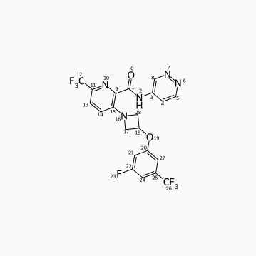 O=C(Nc1ccnnc1)c1nc(C(F)(F)F)ccc1N1CC(Oc2cc(F)cc(C(F)(F)F)c2)C1